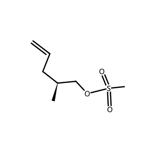 C=CC[C@H](C)COS(C)(=O)=O